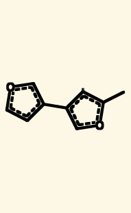 Cc1[c]c(-c2ccoc2)co1